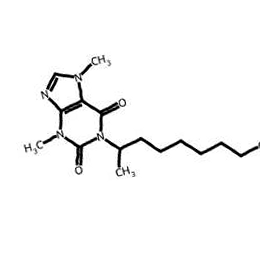 CCCCCCCC(C)n1c(=O)c2c(ncn2C)n(C)c1=O